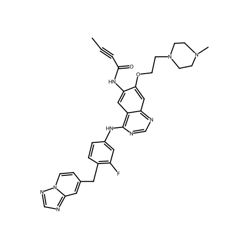 CC#CC(=O)Nc1cc2c(Nc3ccc(Cc4ccn5ncnc5c4)c(F)c3)ncnc2cc1OCCN1CCN(C)CC1